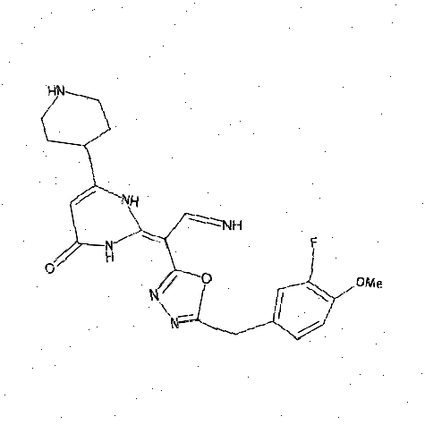 COc1ccc(Cc2nnc(/C(C=N)=C3\NC(=O)C=C(C4CCNCC4)N3)o2)cc1F